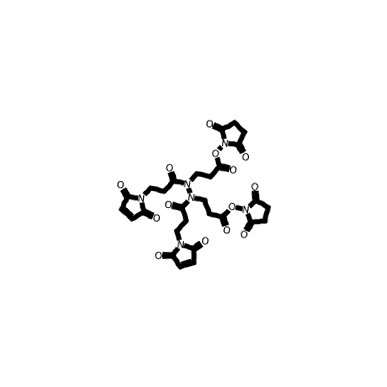 O=C(CCN(C(=O)CCN1C(=O)C=CC1=O)N(CCC(=O)ON1C(=O)CCC1=O)C(=O)CCN1C(=O)C=CC1=O)ON1C(=O)CCC1=O